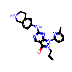 C=CCn1c(=O)c2cnc(Nc3ccc4c(c3)CCNC4)nc2n1-c1cccc(C)n1